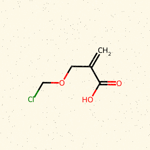 C=C(COCCl)C(=O)O